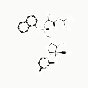 C#C[C@@]1(O)[C@H](O)[C@@H](COP(=S)(NC(C)C(=O)OC(C)C)Oc2cccc3ccccc23)O[C@H]1n1ccc(=O)[nH]c1=O